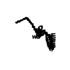 CCCCCCCC/C=C\CCCCCCCCCCCC(=O)Oc1ccc(CCCC(F)(F)C(F)(F)C(F)(F)C(F)(F)C(F)(F)C(F)(F)C(F)(F)C(F)(F)F)cc1CO